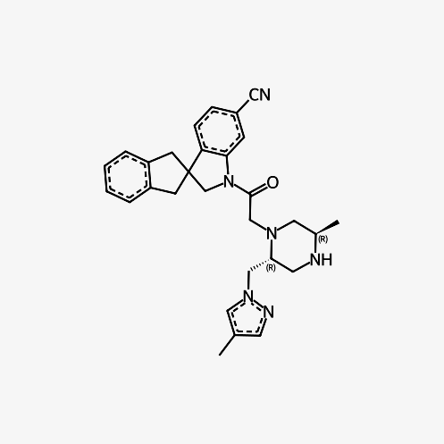 Cc1cnn(C[C@H]2CN[C@H](C)CN2CC(=O)N2CC3(Cc4ccccc4C3)c3ccc(C#N)cc32)c1